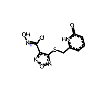 O=c1cccc(CSc2nonc2/C(Cl)=N/O)[nH]1